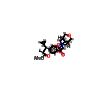 COC(=O)[C@@H](C)[C@H](c1ccc2c(c1)OC(C1[C@@H]3COC[C@H]1CN(C(=O)OC(C)(C)C)C3)CC2=O)C1CC1